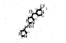 O=C(c1cnc(NCc2cncnc2)nc1)c1ccnc(C(F)(F)F)c1